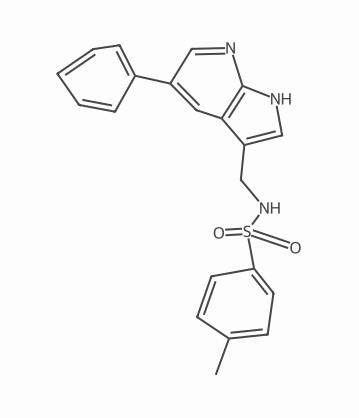 Cc1ccc(S(=O)(=O)NCc2c[nH]c3ncc(-c4ccccc4)cc23)cc1